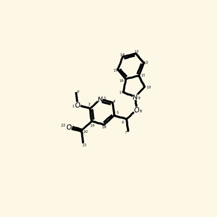 COc1ncc(C(C)ON2Cc3ccccc3C2)cc1C(C)=O